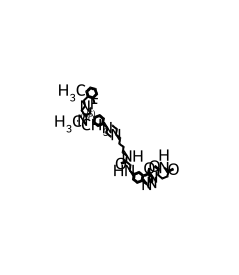 Cc1cccc(F)c1CN1C[C@H](c2ccc(N3CCN(CCCCNC(=O)CNc4ccc5nnn(C6CCC(=O)NC6=O)c(=O)c5c4)CC3)cc2)[C@@H](N(C)C)C1